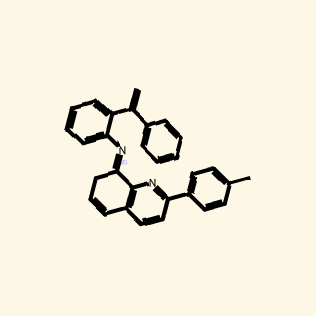 C=C(c1ccccc1)c1ccccc1/N=C1\CC=Cc2ccc(-c3ccc(C)cc3)nc21